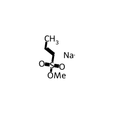 CC=CS(=O)(=O)OC.[Na]